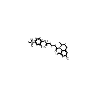 CC1CCc2cc(Cl)cc(Cl)c2N1C(=O)CCCC(=O)Nc1ccc(S(C)(=O)=O)cc1Cl